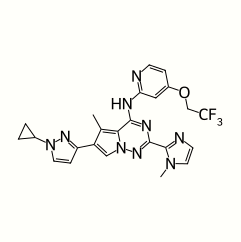 Cc1c(-c2ccn(C3CC3)n2)cn2nc(-c3nccn3C)nc(Nc3cc(OCC(F)(F)F)ccn3)c12